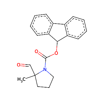 CC1(C=O)CCCN1C(=O)OC1c2ccccc2-c2ccccc21